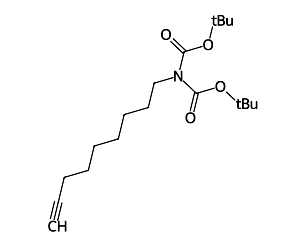 C#CCCCCCCCN(C(=O)OC(C)(C)C)C(=O)OC(C)(C)C